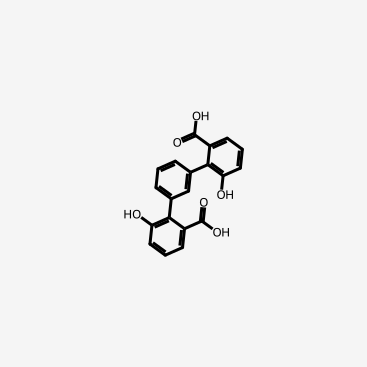 O=C(O)c1cccc(O)c1-c1cccc(-c2c(O)cccc2C(=O)O)c1